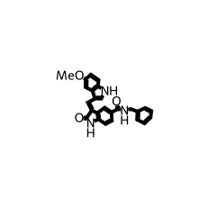 COc1ccc2[nH]cc(/C=C3/C(=O)Nc4ccc(C(=O)NCc5ccccc5)cc43)c2c1